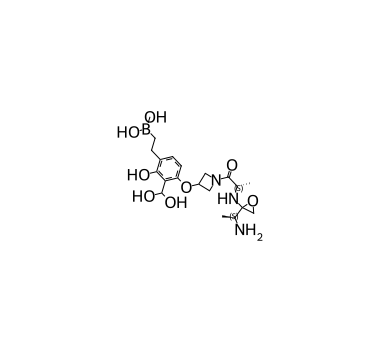 C[C@H](NC1([C@H](C)N)CO1)C(=O)N1CC(Oc2ccc(CCB(O)O)c(O)c2C(O)O)C1